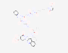 CC[C@@]1(O)C(=O)OCc2c1cc1n(c2=O)Cc2c-1nc1cc(F)c(C)c3c1c2[C@@H](NC(=O)[C@@H](C)OCNC(=O)CNC(=O)[C@H](Cc1ccccc1)NC(=O)CNC(=O)CNC(=O)CCCCCN1C(=O)C=CC1O)CC3